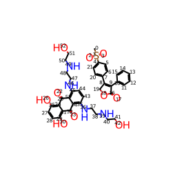 CS(=O)(=O)c1ccc(C2=C(c3ccccc3)C(=O)OC2)cc1.O=C1c2c(O)ccc(O)c2C(=O)c2c(NCCNCCO)ccc(NCCNCCO)c21